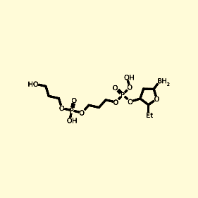 BC1CC(OP(=O)(OO)OCCCOP(=O)(O)OCCCO)C(CC)O1